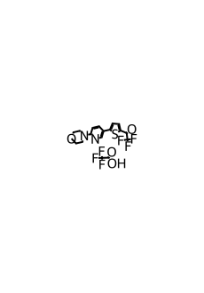 O=C(O)C(F)(F)F.O=C(c1ccc(-c2ccc(N3CCOCC3)nc2)s1)C(F)(F)F